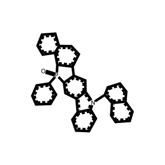 O=P1(c2ccccc2)c2cc3c4ccccc4n(-c4cccc5ccccc45)c3cc2-c2ccc3ccccc3c21